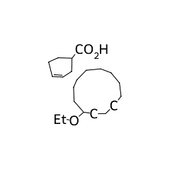 CCOC1CCCCCCCCCCC1.O=C(O)C1CC=CCC1